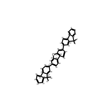 CC1(C)c2ccccc2-c2ccc(-c3ccc4c(c3)oc3cc(-c5ccc6c(c5)C(C)(C)c5ccccc5-6)ccc34)cc21